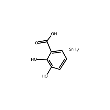 O=C(O)c1cccc(O)c1O.[SnH2]